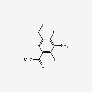 COC(=O)c1nc(CI)c(F)c(N)c1I